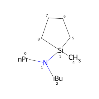 CCCN(C(C)CC)[Si]1(C)CCCC1